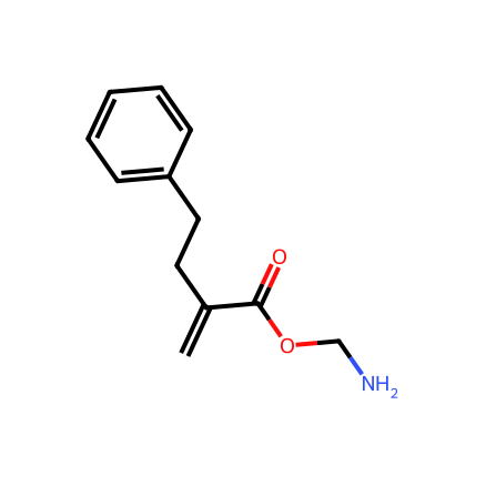 C=C(CCc1ccccc1)C(=O)OCN